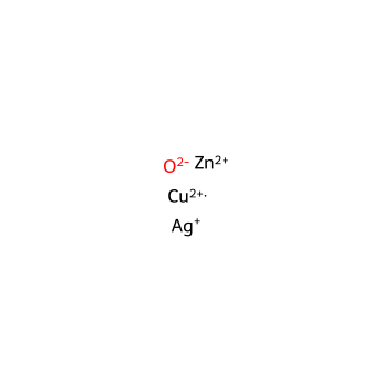 [Ag+].[Cu+2].[O-2].[Zn+2]